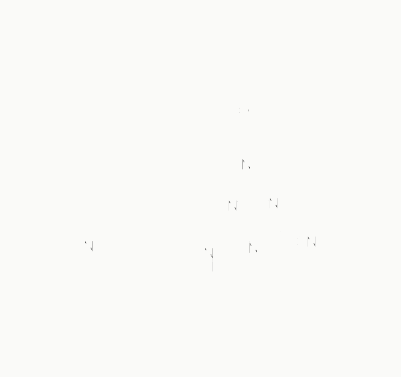 N#Cc1nc(NCCc2cccnc2)nc(N2CCOCC2)n1